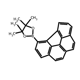 CC1(C)OB(c2ccc3ccc4ccc5cccc6c5c4c3c2-6)OC1(C)C